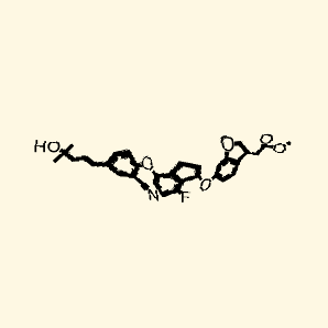 COC(=O)C[C@@H]1COc2cc(O[C@@H]3CCc4c(Oc5ccc(CCCC(C)(C)O)cc5C#N)ccc(F)c43)ccc21